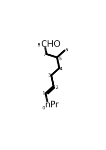 CCCC=CCCC(C)CC=O